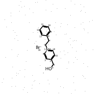 OCc1cc[n+](CCc2ccccc2)cc1.[Br-]